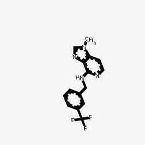 Cn1cnc2c(NCc3cccc(C(F)(F)F)c3)nccc21